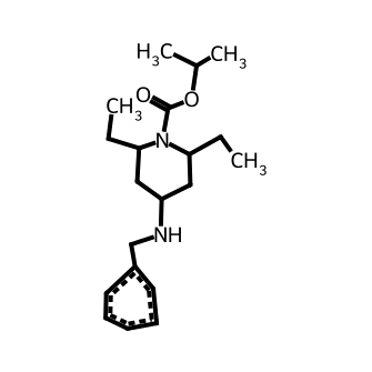 CCC1CC(NCc2ccccc2)CC(CC)N1C(=O)OC(C)C